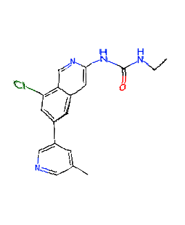 CCNC(=O)Nc1cc2cc(-c3cncc(C)c3)cc(Cl)c2cn1